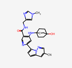 Cn1cnc(CNC(=O)c2cnc(-c3ccc4cc(C#N)cnn34)cc2NC23CCC(O)(CC2)CC3)c1